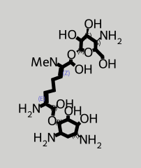 CN/C(=C\CC/C=C(/N)[C@H](O)O[C@@H]1C(N)C[C@@H](N)C(O)C1O)C(O)O[C@H]1OC(CO)[C@@H](N)[C@H](O)C1O